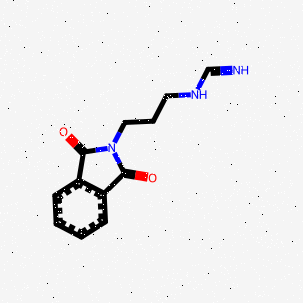 N=CNCCCN1C(=O)c2ccccc2C1=O